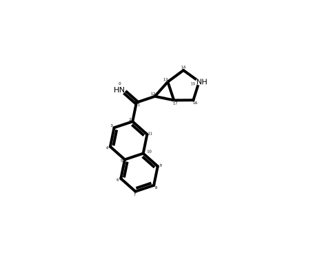 N=C(c1ccc2ccccc2c1)C1C2CNCC21